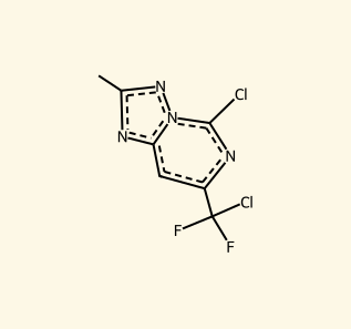 Cc1nc2cc(C(F)(F)Cl)nc(Cl)n2n1